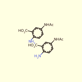 CC(=O)Nc1ccc(N)c(C(=O)O)c1.CC(=O)Nc1ccc(N)c(C(=O)O)c1